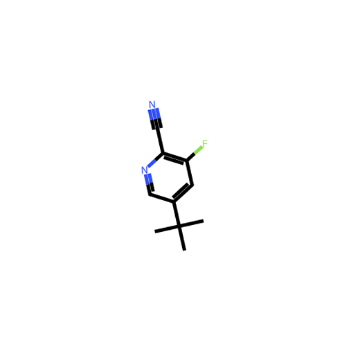 CC(C)(C)c1cnc(C#N)c(F)c1